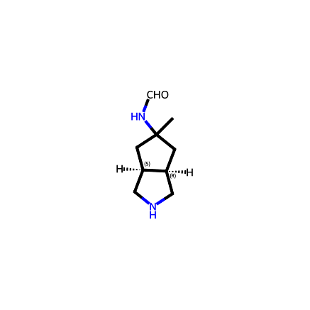 CC1(NC=O)C[C@H]2CNC[C@H]2C1